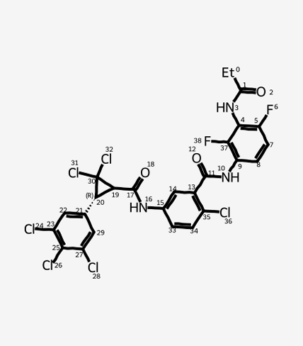 CCC(=O)Nc1c(F)ccc(NC(=O)c2cc(NC(=O)C3[C@H](c4cc(Cl)c(Cl)c(Cl)c4)C3(Cl)Cl)ccc2Cl)c1F